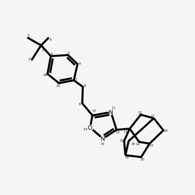 CC(C)(C)c1ccc(CCc2nc(C34CC5CC(CC(C5)C3)C4)no2)cc1